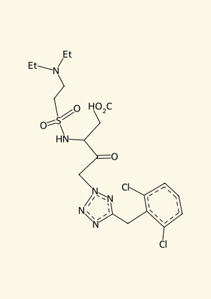 CCN(CC)CCS(=O)(=O)NC(CC(=O)O)C(=O)Cn1nnc(Cc2c(Cl)cccc2Cl)n1